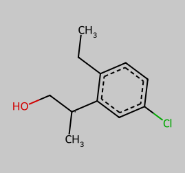 CCc1ccc(Cl)cc1[C](C)CO